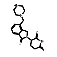 O=C1CCC(N2Cc3c(CN4CCNCC4)cccc3C2=O)C(=O)N1